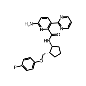 Nc1ccc(-c2ncccn2)c(C(=O)N[C@H]2CCC[C@@H]2COc2ccc(F)cc2)n1